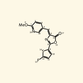 COc1ccc(/C=C2\N=C(c3ccc(F)s3)OC2=O)cn1